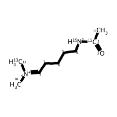 C[13C](=O)[15NH]CCCC/C=[N+](/C)[13CH3]